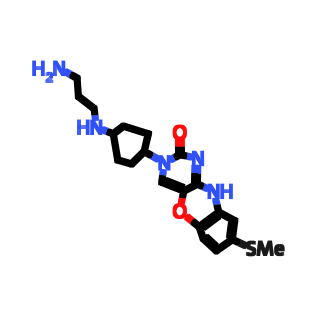 CSc1ccc2c(c1)Nc1nc(=O)n(C3CCC(NCCCN)CC3)cc1O2